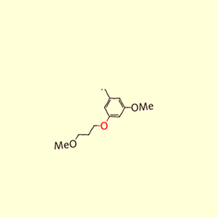 [CH2]c1cc(OC)cc(OCCCOC)c1